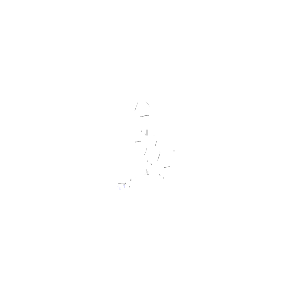 C/C(CF)=N\OC1CCC(C)N2C[C@H]1n1cc(C(=O)NCc3c(F)cc(F)cc3F)c(=O)c(O)c1C2=O